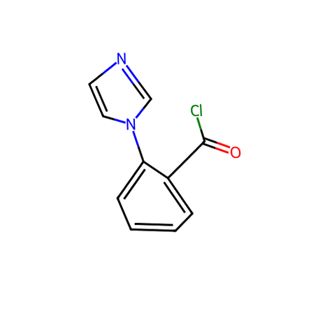 O=C(Cl)c1ccccc1-n1ccnc1